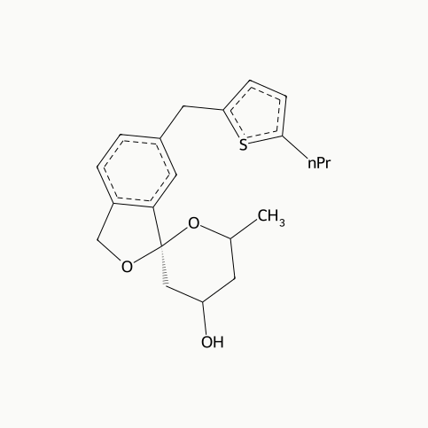 CCCc1ccc(Cc2ccc3c(c2)[C@]2(CC(O)CC(C)O2)OC3)s1